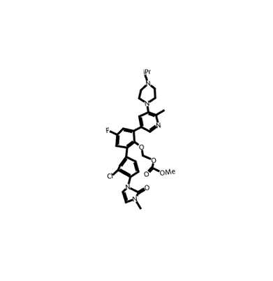 COC(=O)OCOc1c(-c2ccc(-n3ccn(C)c3=O)c(Cl)c2)cc(F)cc1-c1cnc(C)c(N2CCN(C(C)C)CC2)c1